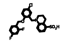 O=S(=O)(O)c1cccc2c1CCCN2Cc1cc(Cl)ccc1OCc1ccc(F)cc1F